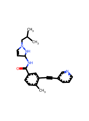 Cc1ccc(C(=O)NC2C=CN(CC(C)C)N2)cc1C#Cc1cccnc1